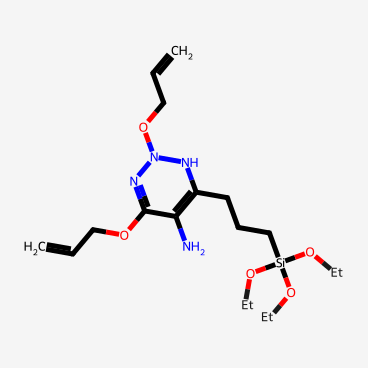 C=CCOC1=NN(OCC=C)NC(CCC[Si](OCC)(OCC)OCC)=C1N